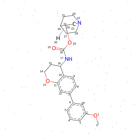 COc1cccc(-c2ccc3c(c2)OCCC3NC(=O)O[C@@H]2CN3CCC2CC3)c1